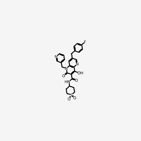 O=C(NC1CCS(=O)(=O)CC1)c1c(O)c2ncc(Cc3ccc(F)cc3)cc2n(Cc2cccnc2)c1=O